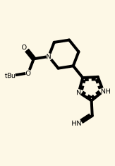 CC(C)(C)OC(=O)N1CCCC(c2c[nH]c(C=N)n2)C1